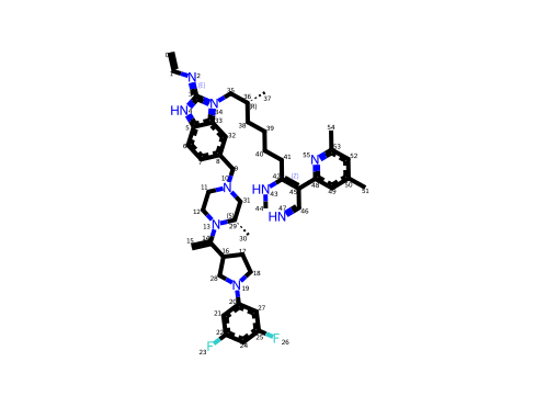 C=C/N=c1\[nH]c2ccc(CN3CCN(C(=C)C4CCN(c5cc(F)cc(F)c5)C4)[C@@H](C)C3)cc2n1C[C@H](C)CCCC/C(NC)=C(/C=N)c1cc(C)cc(C)n1